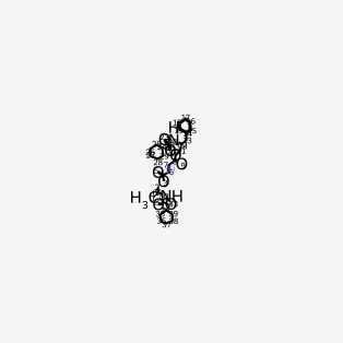 C[C@@H](COC(=O)/C=C/C(=O)OC[C@H](Cc1ccccc1)NS(=O)(=O)C1CCCCC1)NS(=O)(=O)C1CCCCC1